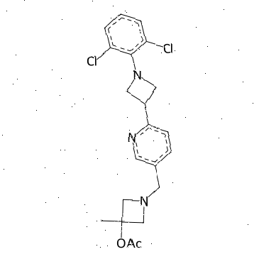 CC(=O)OC1(C)CN(Cc2ccc(C3CN(c4c(Cl)cccc4Cl)C3)nc2)C1